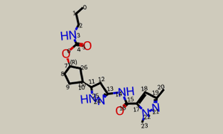 CCCNC(=O)O[C@@H]1CC[C@H](C2CC(NC(=O)c3cc(C)nn3C)=NN2)C1